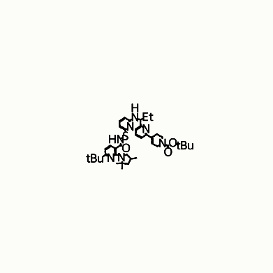 CCC(Nc1cccc(SNC(=O)c2ccc(C(C)(C)C)nc2N2CC(C)CC2(C)C)n1)c1cccc(C2=CCN(C(=O)OC(C)(C)C)CC2)n1